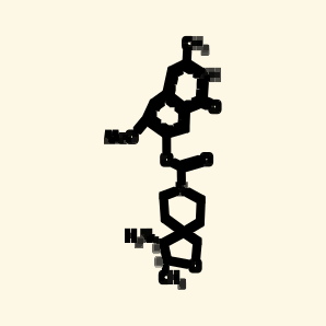 COc1cc2cc(C)[nH]c(=O)c2cc1OC(=O)N1CCC2(CC1)CO[C@H](C)[C@@H]2N